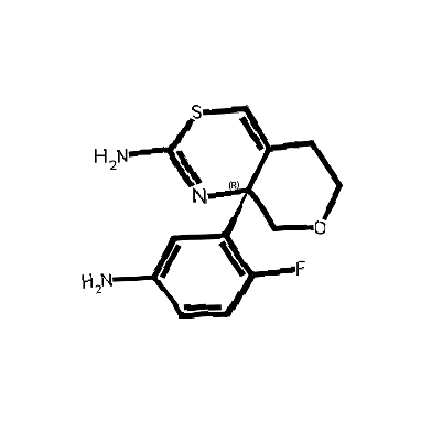 NC1=N[C@@]2(c3cc(N)ccc3F)COCCC2=CS1